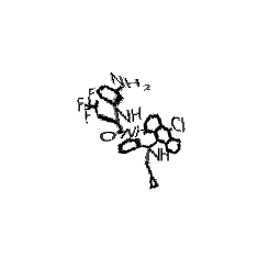 C=C(/C=C(\Nc1cccc(CN)c1)C(=O)Nc1cccc(C(NCC2CC2)c2c3ccccc3c(Cl)c3ccccc23)c1)C(F)(F)F